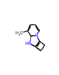 CC1=CC=CN2C3=C(CC3)NC12